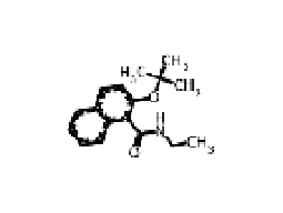 CCNC(=O)c1c(OC(C)(C)C)ccc2ccccc12